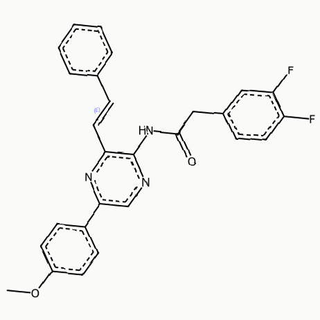 COc1ccc(-c2cnc(NC(=O)Cc3ccc(F)c(F)c3)c(/C=C/c3ccccc3)n2)cc1